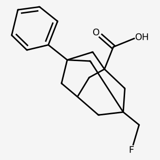 O=C(O)C12CC3CC(CF)(C1)CC(c1ccccc1)(C3)C2